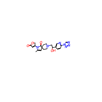 CC1=CC2(CCN(CC(O)c3ccc(-n4cnnn4)nc3)CC2)C(=O)N1C1=CC(=O)OC1